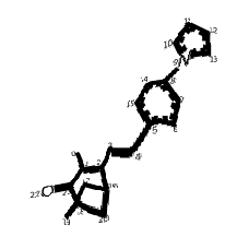 CC1=C(/C=C/c2ccc(-n3cccc3)cc2)C2CC(C)(C2)C1=O